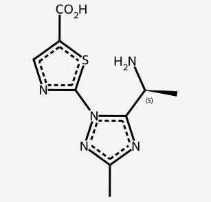 Cc1nc([C@H](C)N)n(-c2ncc(C(=O)O)s2)n1